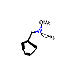 CON([C]=O)Cc1ccccc1